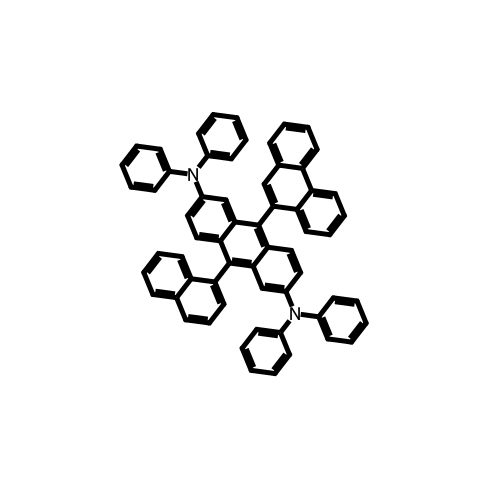 c1ccc(N(c2ccccc2)c2ccc3c(-c4cc5ccccc5c5ccccc45)c4cc(N(c5ccccc5)c5ccccc5)ccc4c(-c4cccc5ccccc45)c3c2)cc1